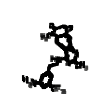 Cc1nc(NCCc2cc(N)cc(C(F)(F)F)c2)c2cc3c(cc2n1)OCC(=O)N3C